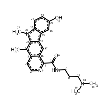 Cc1c2ccnc(C(=O)NCCCN(C)C)c2cc2c3cc(O)ccc3n(C)c12